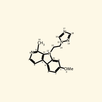 COc1ccc2c3ccnc(C)c3n(CCn3cncn3)c2c1